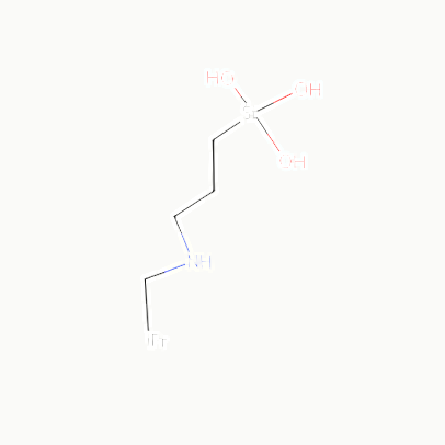 CC(C)CNCCC[Si](O)(O)O